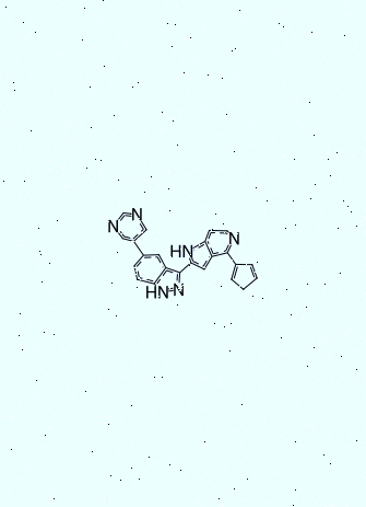 C1=CC(c2nccc3[nH]c(-c4n[nH]c5ccc(-c6cncnc6)cc45)cc23)=CC1